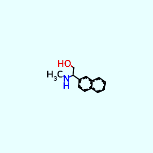 CNC(CO)c1ccc2ccccc2c1